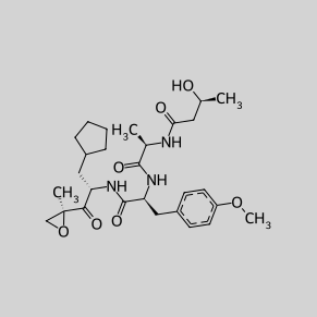 COc1ccc(C[C@H](NC(=O)[C@@H](C)NC(=O)C[C@H](C)O)C(=O)N[C@@H](CC2CCCC2)C(=O)[C@]2(C)CO2)cc1